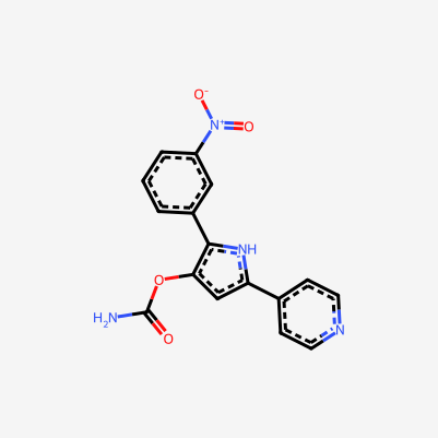 NC(=O)Oc1cc(-c2ccncc2)[nH]c1-c1cccc([N+](=O)[O-])c1